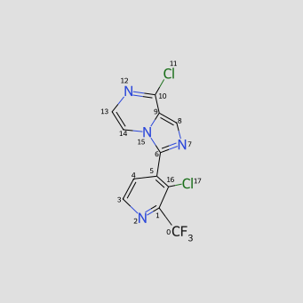 FC(F)(F)c1nccc(-c2ncc3c(Cl)nccn23)c1Cl